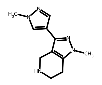 Cn1cc(-c2nn(C)c3c2CNCC3)cn1